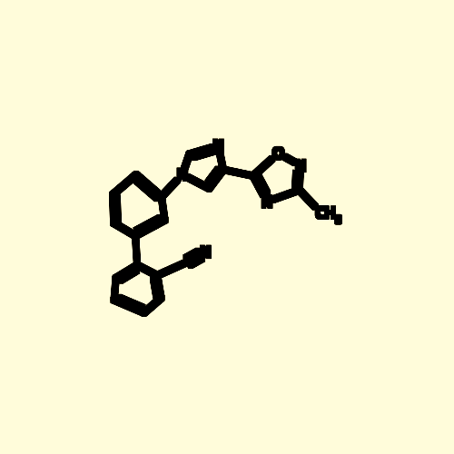 Cc1noc(-c2cn(-c3cccc(-c4ccccc4C#N)c3)cn2)n1